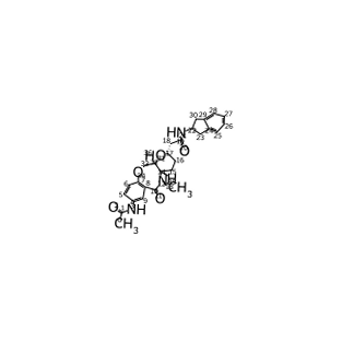 CC(=O)Nc1ccc2c(c1)C(=O)N(C)[C@H]1CC[C@@H](CC(=O)NC3Cc4ccccc4C3)O[C@H]1CO2